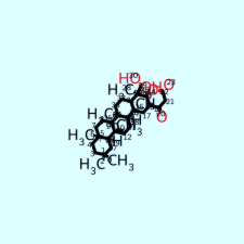 CC1(C)CC[C@]2(C)CC[C@]3(C)C(=CC[C@@H]4[C@@]5(C)CC6C(=O)CC(=O)O[C@@]6(O)[C@@](C)(CO)C5CC[C@]43C)[C@H]2C1